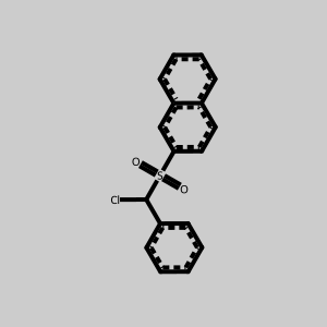 O=S(=O)(c1ccc2ccccc2c1)C(Cl)c1ccccc1